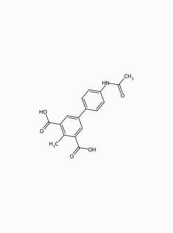 CC(=O)Nc1ccc(-c2cc(C(=O)O)c(C)c(C(=O)O)c2)cc1